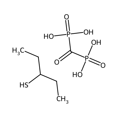 CCC(S)CC.O=C(P(=O)(O)O)P(=O)(O)O